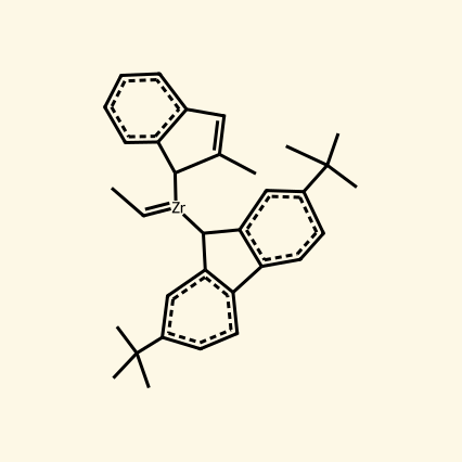 C[CH]=[Zr]([CH]1C(C)=Cc2ccccc21)[CH]1c2cc(C(C)(C)C)ccc2-c2ccc(C(C)(C)C)cc21